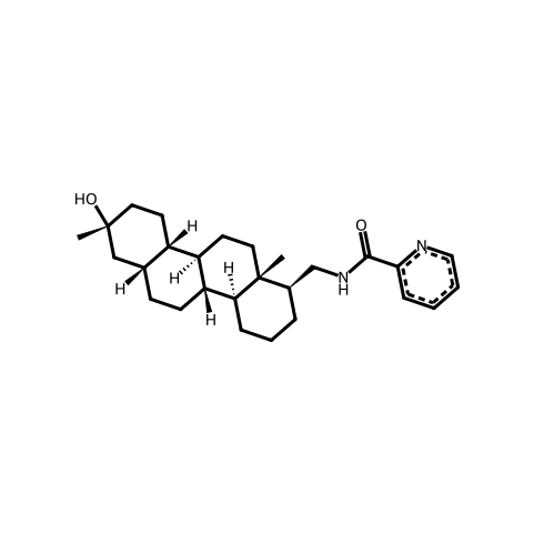 C[C@@]1(O)CC[C@H]2[C@H](CC[C@@H]3[C@@H]2CC[C@]2(C)[C@@H](CNC(=O)c4ccccn4)CCC[C@@H]32)C1